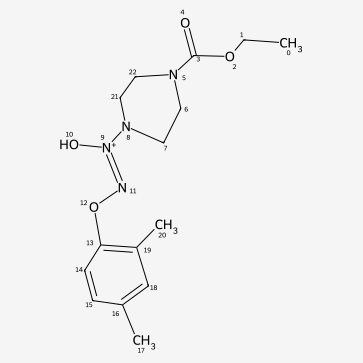 CCOC(=O)N1CCN(/[N+](O)=N/Oc2ccc(C)cc2C)CC1